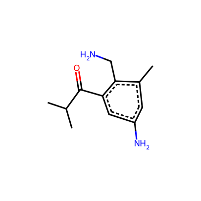 Cc1cc(N)cc(C(=O)C(C)C)c1CN